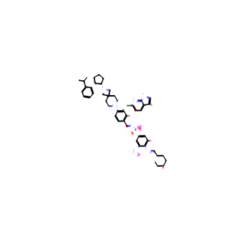 CC(C)c1ccccc1[C@@H]1CCC[C@@H]1N1CC2(CCN(c3ccc(C(=O)NS(=O)(=O)c4cc5c(c([N+](=O)[O-])c4)N[C@@H]([C@H]4CC[C@](C)(O)CC4)CO5)c(Oc4cc5c(F)c[nH]c5nc4Cl)c3)CC2)C1